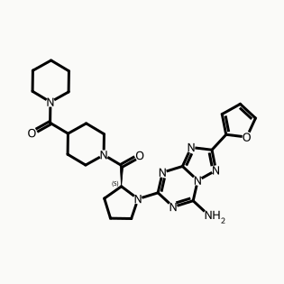 Nc1nc(N2CCC[C@H]2C(=O)N2CCC(C(=O)N3CCCCC3)CC2)nc2nc(-c3ccco3)nn12